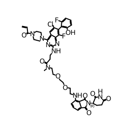 C=CC(=O)N1CCN(c2nc(NCCC(=O)N(C)CCOCCOCCNc3cccc4c3C(=O)N([C@@H]3CCC(=O)NC3=O)C4=O)nc3c(F)c(-c4c(O)cccc4F)c(Cl)cc23)CC1